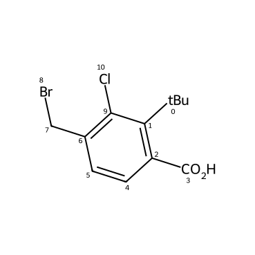 CC(C)(C)c1c(C(=O)O)ccc(CBr)c1Cl